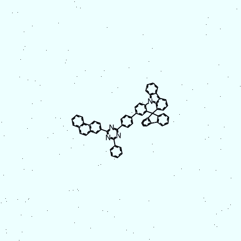 c1ccc(-c2nc(-c3ccc(-c4ccc5c(c4)C4(c6ccccc6-c6ccccc64)c4cccc6c7ccccc7n-5c46)cc3)nc(-c3ccc4c(ccc5ccccc54)c3)n2)cc1